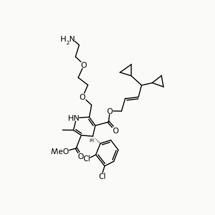 COC(=O)C1=C(C)NC(COCCOCCN)=C(C(=O)OCC=CC(C2CC2)C2CC2)[C@@H]1c1cccc(Cl)c1Cl